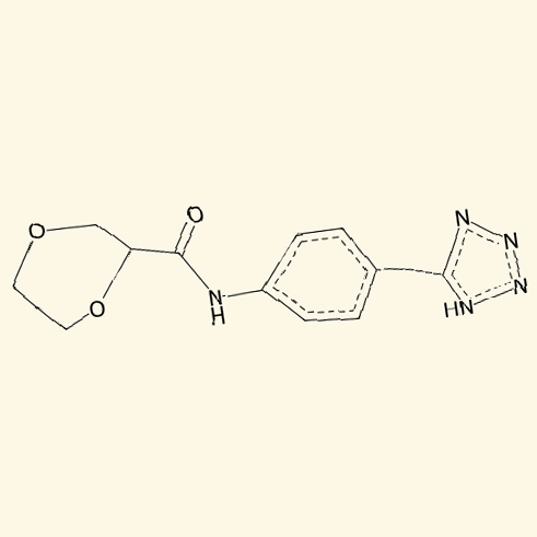 O=C(Nc1ccc(-c2nnn[nH]2)cc1)C1COCCO1